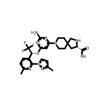 Cc1ccc([C@@H](Oc2cc(N3CCC4(CC3)CN[C@H](C(=O)O)C4)nc(N)n2)C(F)(F)F)c(-n2ccc(C)n2)n1